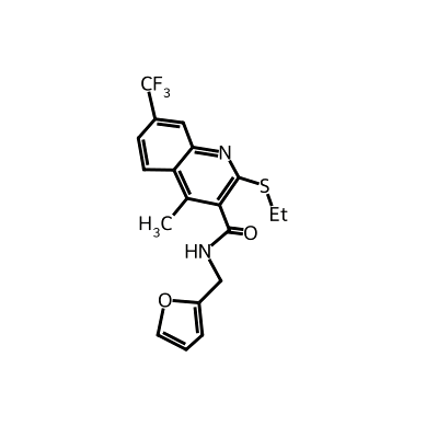 CCSc1nc2cc(C(F)(F)F)ccc2c(C)c1C(=O)NCc1ccco1